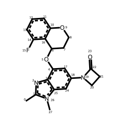 Cc1nc2c(OC3CCOc4cccc(F)c43)cc(N3CCC3=O)cc2n1C